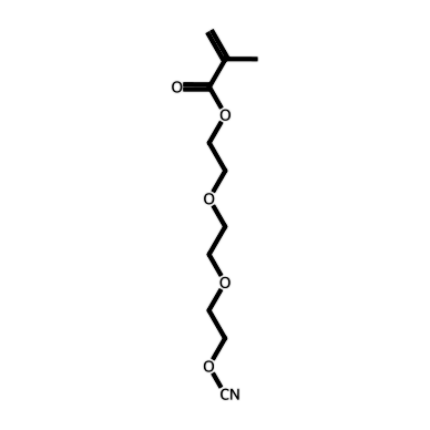 C=C(C)C(=O)OCCOCCOCCOC#N